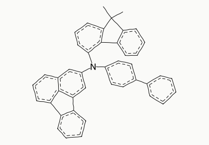 CC1(C)c2ccccc2-c2c(N(c3ccc(-c4ccccc4)cc3)c3cc4c5c(cccc5c3)-c3ccccc3-4)cccc21